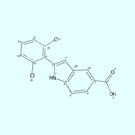 O=C(O)c1ccc2[nH]c(-c3c(Cl)cccc3Cl)cc2c1